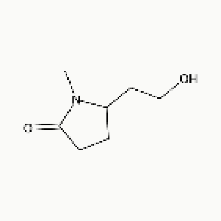 CN1C(=O)CCC1CCO